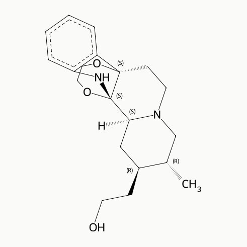 C[C@H]1CN2CC[C@@]34OCCO[C@@]3(Nc3ccccc34)[C@@H]2C[C@@H]1CCO